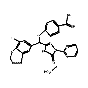 CC(=O)O.CCc1cc(C(Nc2ccc(C(=N)N)cc2)c2nn(-c3ncccn3)c(=O)[nH]2)cc2c1OCOC2